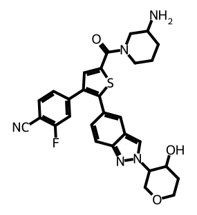 N#Cc1ccc(-c2cc(C(=O)N3CCCC(N)C3)sc2-c2ccc3nn(C4COCCC4O)cc3c2)cc1F